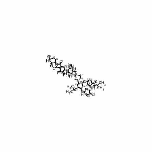 [2H]C1([2H])N(CC2CCN(c3cc(OC(C)C)c(Nc4ncc(Cl)c(Nc5ccccc5S(=O)(=O)C(C)C)n4)cc3C)CC2)C([2H])([2H])C([2H])([2H])N(c2cc3c(c(F)c2F)C(=O)N(C2CCC(=O)NC2=O)C3=O)C1([2H])[2H]